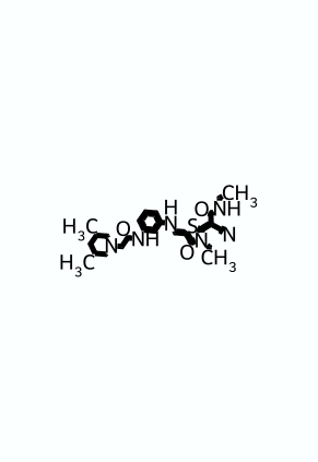 CCNC(=O)C(C#N)=c1sc(=CNc2cccc(NC(=O)CN3CC(C)CC(C)C3)c2)c(=O)n1CC